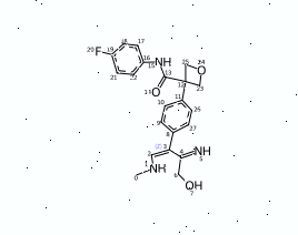 CN/C=C(\C(=N)CO)c1ccc(C2(C(=O)Nc3ccc(F)cc3)COC2)cc1